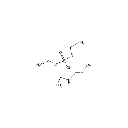 CCNCCO.CCOP(=O)(O)OCC